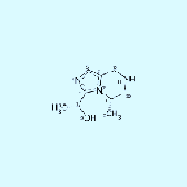 C[C@@H](O)c1ncc2n1[C@@H](C)CNC2